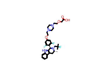 C[C@@H]1Cc2c([nH]c3ccccc23)[C@@H](c2c(F)cc(OCCN3CCN(CCOCC(=O)O)CC3)cc2F)N1CC(C)(C)F